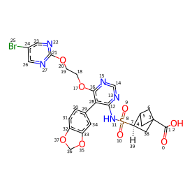 O=C(O)C12CC(C1)[C@H](S(=O)(=O)Nc1ncnc(OCCOc3ncc(Br)cn3)c1-c1ccc3c(c1)OCO3)C2